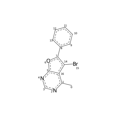 Cc1ncnc2oc(-c3ccccc3)c(Br)c12